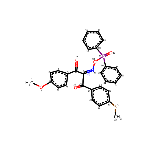 COc1ccc(C(=O)/C(=N\OP(=O)(c2ccccc2)c2ccccc2)C(=O)c2ccc(SC)cc2)cc1